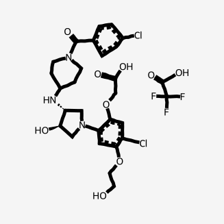 O=C(O)C(F)(F)F.O=C(O)COc1cc(Cl)c(OCCO)cc1N1C[C@@H](O)[C@H](NC2CCN(C(=O)c3ccc(Cl)cc3)CC2)C1